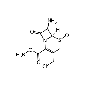 BOC(=O)C1=C(CCl)C[S+]([O-])[C@@H]2[C@H](N)C(=O)N12